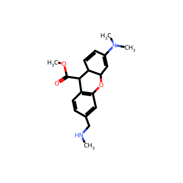 CNCc1ccc2c(c1)OC1C=C(N(C)C)C=CC1C2C(=O)OC